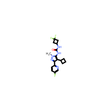 Cn1nc(-c2ccc(F)cn2)c(C2CCC2)c1NC(=O)NC1CC(F)(F)C1